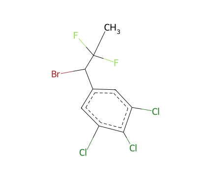 CC(F)(F)C(Br)c1cc(Cl)c(Cl)c(Cl)c1